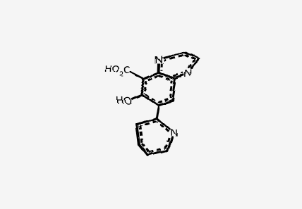 O=C(O)c1c(O)c(-c2ccccn2)cc2nccnc12